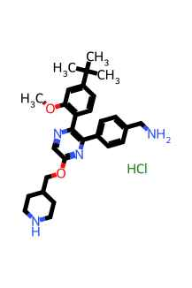 COc1cc(C(C)(C)C)ccc1-c1ncc(OCC2CCNCC2)nc1-c1ccc(CN)cc1.Cl